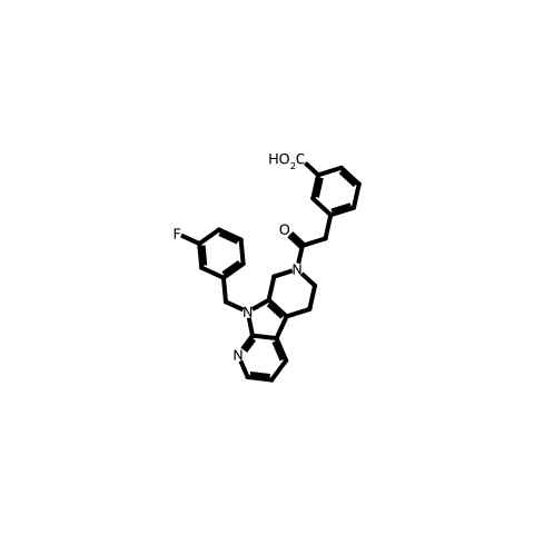 O=C(O)c1cccc(CC(=O)N2CCc3c(n(Cc4cccc(F)c4)c4ncccc34)C2)c1